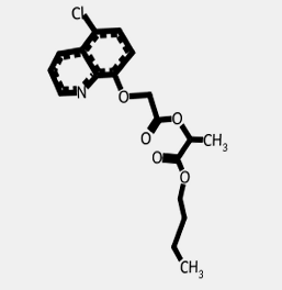 CCCCOC(=O)C(C)OC(=O)COc1ccc(Cl)c2cccnc12